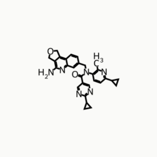 Cc1nc(C2CC2)ccc1N(Cc1ccc2c3c(c(N)nc2c1)COC3)C(=O)c1cnc(C2CC2)nc1